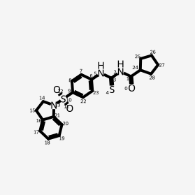 O=C(NC(=S)Nc1ccc(S(=O)(=O)N2CCc3ccccc32)cc1)C1CCCC1